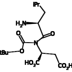 CC(C)C[C@H](N)C(=O)N(C(=O)OC(C)(C)C)[C@@H](CC(=O)O)C(=O)O